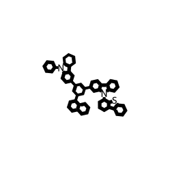 C1=Cc2c(n(-c3ccccc3)c3ccc(C4=CC(c5cccc6ccccc56)CC(c5ccc6c7ccccc7n(-c7cccc8c7sc7ccccc78)c6c5)=C4)cc23)CC1